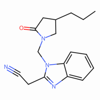 CCCC1CC(=O)N(Cn2c(CC#N)nc3ccccc32)C1